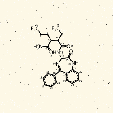 NC(=O)[C@@H](CCC(F)(F)F)[C@@H](CC(F)(F)F)C(=O)N[C@H]1N=C(c2ccccc2)c2ccccc2NC1=O